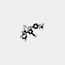 Cc1nc2ncc(F)cn2c1-c1cc(C#N)cc(Nc2ccc(OC(F)(F)F)cc2)n1